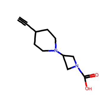 C#CC1CCN(C2CN(C(=O)O)C2)CC1